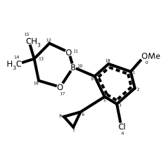 COc1cc(Cl)c(C2CC2)c(B2OCC(C)(C)CO2)c1